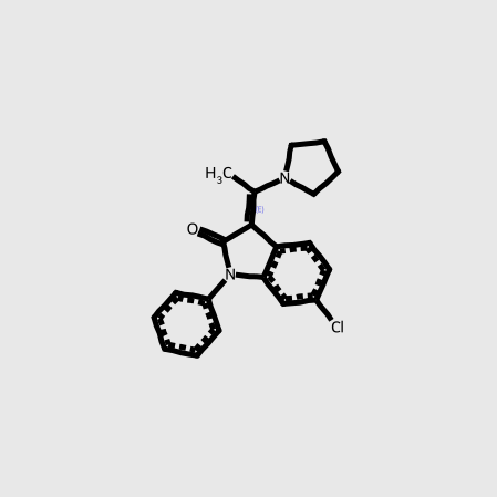 C/C(=C1\C(=O)N(c2ccccc2)c2cc(Cl)ccc21)N1CCCC1